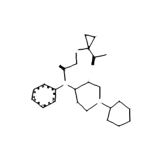 O=C(CNC1(C(=O)O)CC1)N(c1ccccc1)C1CCN(C2CCCCC2)CC1